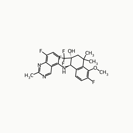 COc1c(F)ccc2c1C(C)(C)C[C@](O)(C(F)(F)F)[C@@H]2Nc1ccc(F)c2nc(C)ncc12